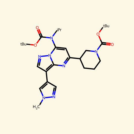 CC(C)N(C(=O)OC(C)(C)C)c1cc(C2CCCN(C(=O)OC(C)(C)C)C2)nc2c(-c3cnn(C)c3)cnn12